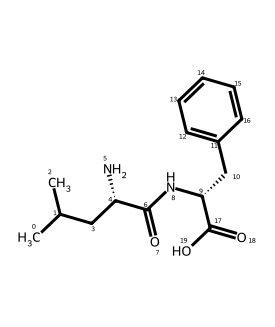 CC(C)C[C@H](N)C(=O)N[C@H](Cc1ccccc1)C(=O)O